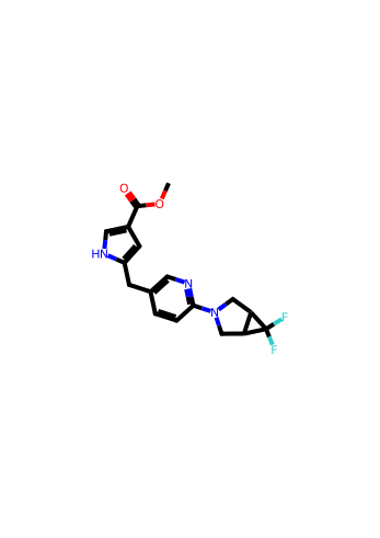 COC(=O)c1c[nH]c(Cc2ccc(N3CC4C(C3)C4(F)F)nc2)c1